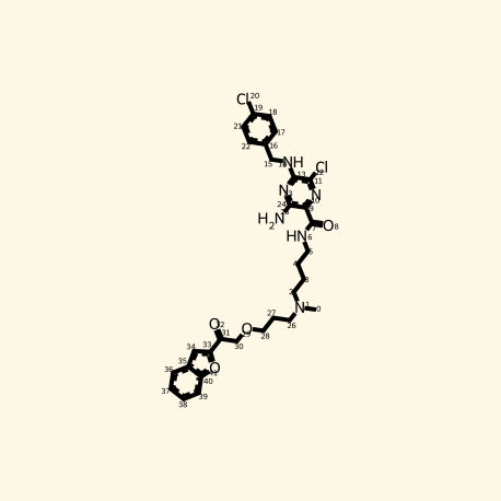 CN(CCCCNC(=O)c1nc(Cl)c(NCc2ccc(Cl)cc2)nc1N)CCCOCC(=O)c1cc2ccccc2o1